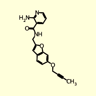 CC#CCOc1ccc2cc(CNC(=O)c3cccnc3N)oc2c1